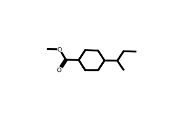 CCC(C)C1CCC(C(=O)OC)CC1